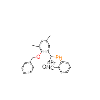 CCCC(Pc1ccccc1C=O)c1cc(C)cc(C)c1OCc1ccccc1